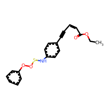 CCOC(=O)/C=C\C#Cc1ccc(NSOOc2ccccc2)cc1